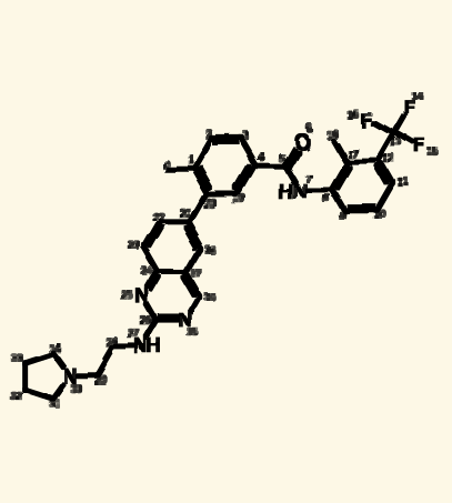 Cc1ccc(C(=O)Nc2cccc(C(F)(F)F)c2C)cc1-c1ccc2nc(NCCN3CCCC3)ncc2c1